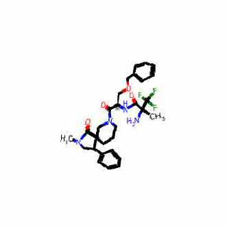 CN1CC(c2ccccc2)C2(CCCN(C(=O)[C@@H](COCc3ccccc3)NC(=O)C(C)(N)C(F)(F)F)C2)C1=O